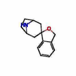 c1ccc2c(c1)COC21CC2CCC(C1)N2